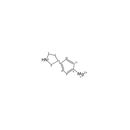 C1CCNC1.[Mg+2][c]1ccccc1